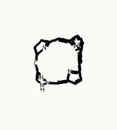 C1=CC2=NC1=CN1NCC(CC3CCC(=N3)C=c3ccc([nH]3)=C2)N1